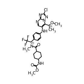 COC(=O)NC1CCC(C(=O)N(C)[C@@H](c2ccc(Nc3cnc4nc(Cl)nn4c3[C@H](C)OC)cc2)C(F)(F)F)CC1